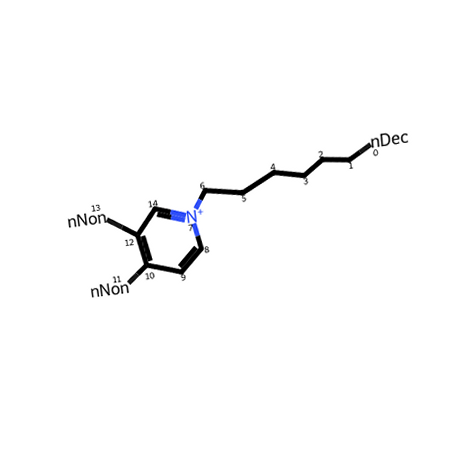 CCCCCCCCCCCCCCCC[n+]1ccc(CCCCCCCCC)c(CCCCCCCCC)c1